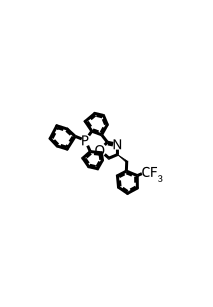 FC(F)(F)c1ccccc1C[C@H]1COC(c2ccccc2P(c2ccccc2)c2ccccc2)=N1